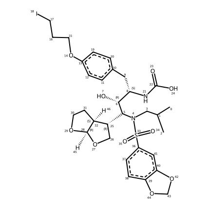 CC(C)CN(C([C@H](O)[C@H](Cc1ccc(OCCCI)cc1)NC(=O)O)[C@@H]1CO[C@H]2OCC[C@H]21)S(=O)(=O)c1ccc2c(c1)OCO2